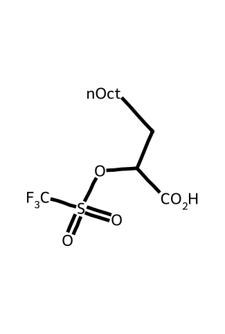 CCCCCCCCCC(OS(=O)(=O)C(F)(F)F)C(=O)O